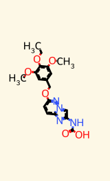 CCOc1c(OC)cc(COc2ccc3nc(NC(=O)O)cn3n2)cc1OC